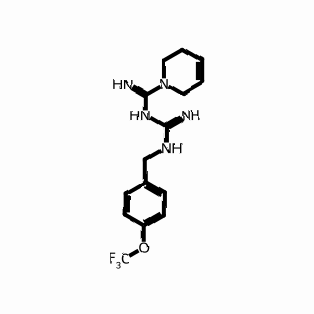 N=C(NCc1ccc(OC(F)(F)F)cc1)NC(=N)N1CC=CCC1